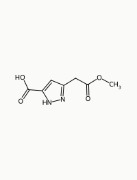 COC(=O)Cc1cc(C(=O)O)[nH]n1